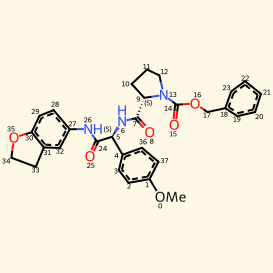 COc1ccc([C@H](NC(=O)[C@@H]2CCCN2C(=O)OCc2ccccc2)C(=O)Nc2ccc3c(c2)CCO3)cc1